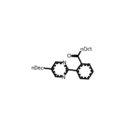 CCCCCCCCCCc1cnc(-c2ccccc2C(=O)CCCCCCCC)nc1